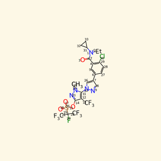 CCN(C(=O)c1cc(-c2cnn(-c3c(C(F)(F)F)c(OS(=O)(=O)C(F)(C(F)(F)F)C(F)(F)F)nn3C)c2)ccc1Cl)C1CC1